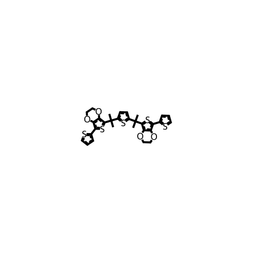 CC(C)(c1ccc(C(C)(C)c2sc(-c3cccs3)c3c2OCCO3)s1)c1sc(-c2cccs2)c2c1OCCO2